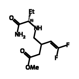 CC[C@H](NCC(C=C(F)F)CC(=O)OC)C(N)=O